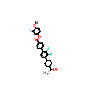 CCOc1ccc(OC(=O)c2ccc(-c3ccc(C4CCC(C(C)O)CC4)c(F)c3F)cc2)cc1F